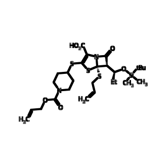 C=CCOC(=O)N1CCC(SC2=C(C(=O)O)N3C(=O)[C@@H]([C@H](CC)O[Si](C)(C)C(C)(C)C)[C@@]3(SCC=C)S2)CC1